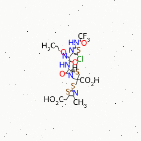 C=CCON=C(C(=O)NC1C(=O)N2CC(CSc3nc(C)c(CC(=O)O)s3)(C(=O)O)CS[C@H]12)c1nc(NC(=O)C(F)(F)F)sc1Cl